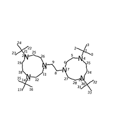 CC(C)(C)N1CCN(CCN2CCN(C(C)(C)C)CCN(C(C)(C)C)CC2)CCN(C(C)(C)C)CC1